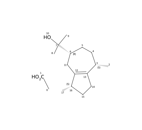 CC(=O)O.C[C@H]1CC[C@@H](C(C)(C)O)CC2=C1CC[C@@H]2C